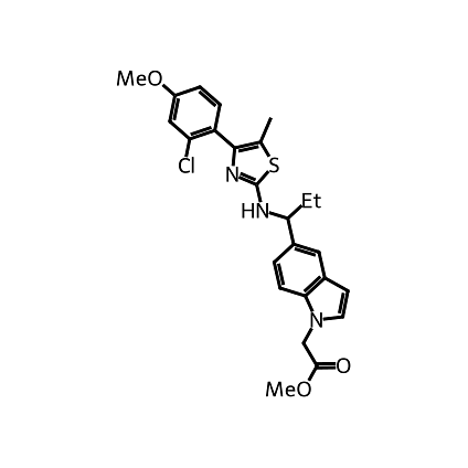 CCC(Nc1nc(-c2ccc(OC)cc2Cl)c(C)s1)c1ccc2c(ccn2CC(=O)OC)c1